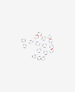 c1ccc(-c2cc(-c3ccccc3)cc(N3c4cc(N(c5ccccc5)c5ccc(-n6c7ccccc7c7ccccc76)cc5)ccc4B4c5ccc(-n6c7ccccc7c7ccccc76)cc5N(c5cc(-c6ccccc6)cc(-c6ccccc6)c5)c5cc(-n6c7ccccc7c7ccccc76)cc3c54)c2)cc1